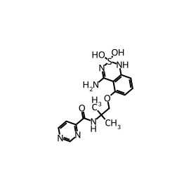 CC(C)(COc1cccc2c1C(N)=NS(O)(O)N2)NC(=O)c1ccncn1